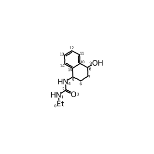 CCNC(=O)NC1CCC(O)c2ccccc21